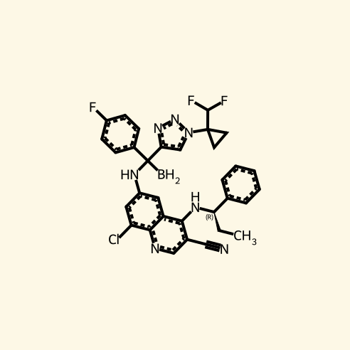 BC(Nc1cc(Cl)c2ncc(C#N)c(N[C@H](CC)c3ccccc3)c2c1)(c1ccc(F)cc1)c1cn(C2(C(F)F)CC2)nn1